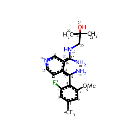 COc1cc(C(F)(F)F)cc(F)c1/C(N)=c1\ccnc\c1=C(\N)NCC(C)(C)O